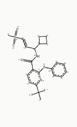 CC(F)(F)c1ncc(C(=O)NC(C=CS(C)(=O)=O)C2CCC2)c(Oc2ccccc2)n1